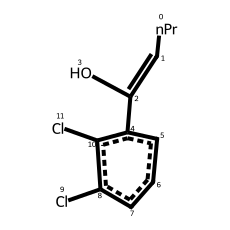 CCCC=C(O)c1cccc(Cl)c1Cl